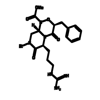 CCN1C[C@@H]2N(C(=O)OC)O[C@@H](Cc3ccccc3)C(=O)N2[C@@H](CCCNC(=N)N)C1=O